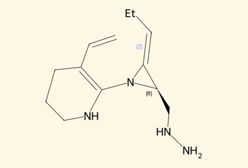 C=CC1=C(N2/C(=C\CC)[C@H]2CNN)NCCC1